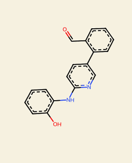 O=Cc1ccccc1-c1ccc(Nc2ccccc2O)nc1